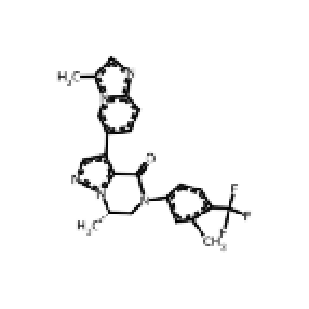 Cc1cc(N2C[C@H](C)n3ncc(-c4ccc5ncc(C)n5c4)c3C2=O)ccc1C(F)(F)F